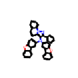 c1ccc(-c2nn3c(ccc4ccccc43)c2N(c2ccc3oc4ccccc4c3c2)c2ccc3oc4ccccc4c3c2)cc1